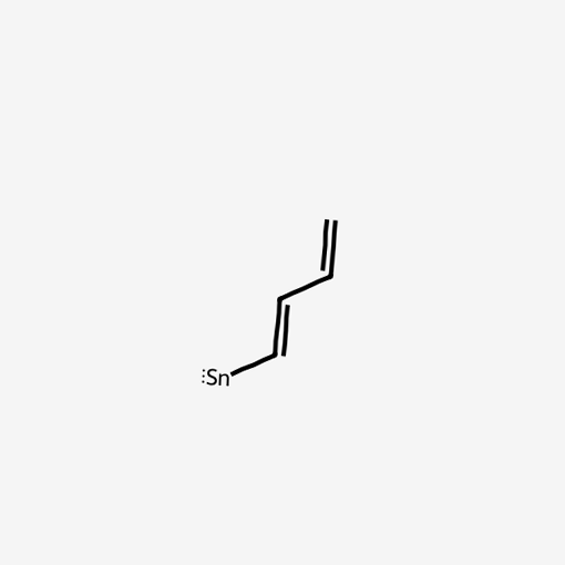 C=CC=[CH][Sn]